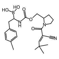 Cc1ccc(CC(NC(=O)OCC2CCCN2C(=O)C(C#N)=CC(C)(C)C)B(O)O)cc1